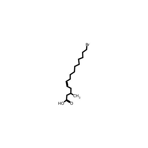 CC(C/C=C\CCCCCCCCCBr)CC(=O)O